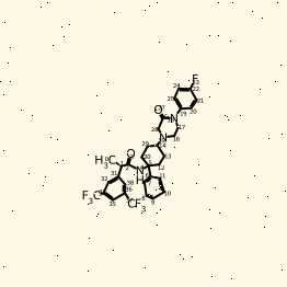 C[C@@H](C(=O)NC1(c2ccccc2)CCC(N2CCN(c3ccc(F)cc3)C(=O)C2)CC1)c1cc(C(F)(F)F)cc(C(F)(F)F)c1